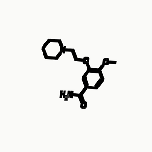 COc1ccc(C(N)=O)cc1OCCN1CCCCC1